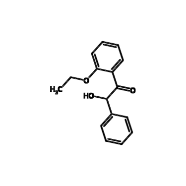 CCOc1ccccc1C(=O)C(O)c1ccccc1